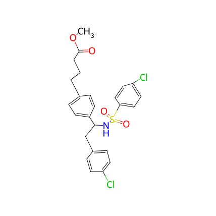 COC(=O)CCCc1ccc(C(Cc2ccc(Cl)cc2)NS(=O)(=O)c2ccc(Cl)cc2)cc1